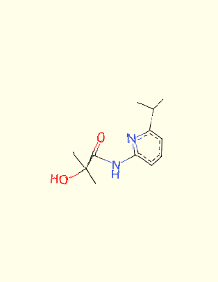 CC(C)c1cccc(NC(=O)C(C)(C)O)n1